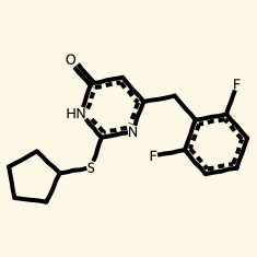 O=c1cc(Cc2c(F)cccc2F)nc(SC2CCCC2)[nH]1